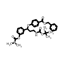 CN(C)C(=O)Oc1cccc(C(CCNC(=O)OC(C)(C)C)Oc2ccc(C(=O)OCc3ccccc3)cc2)c1